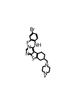 CN1CCN(CC2CCc3c(sc4ncnc(Nc5ccc(Br)cc5F)c34)C2)CC1